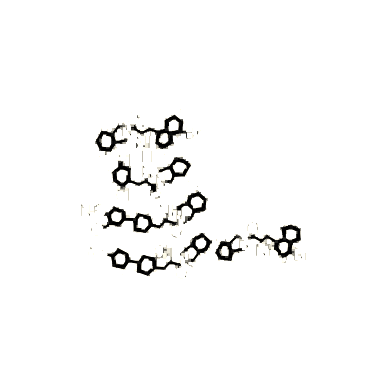 CC(=O)c1ccc(-c2ccc(CC(N)C(=O)N3Cc4ccccc4C3)c(Cl)c2)cc1.N#Cc1ccc(-c2ccc(CC(N)C(=O)N3Cc4ccccc4C3)cc2)cc1Cl.NC(Cc1cc(Cl)ccc1Cl)C(=O)N1Cc2ccccc2C1.NC(Cc1ccc(Br)c2ccccc12)C(=O)N1Cc2ccccc2C1.NC(Cc1cccc2c(Br)cccc12)C(=O)N1Cc2ccccc2C1